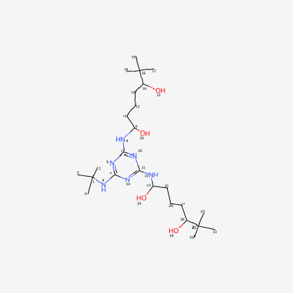 CC(C)(C)Nc1nc(NC(O)CCCC(O)C(C)(C)C)nc(NC(O)CCCC(O)C(C)(C)C)n1